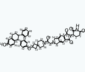 O=C1CCC(N2C(=O)c3cc4c(cc3C2=O)CN(CC(=O)N2CCC3(CC2)CC(Oc2ccc([C@@H]5c6ccc(O)cc6CC[C@@H]5c5ccccc5)cc2)C3)C4)C(=O)N1